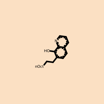 CCCCCCCCCCc1ccc2cccnc2c1O